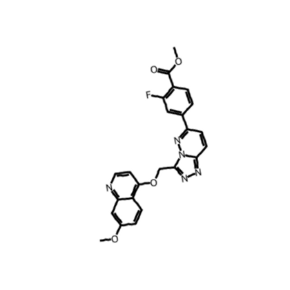 COC(=O)c1ccc(-c2ccc3nnc(COc4ccnc5cc(OC)ccc45)n3n2)cc1F